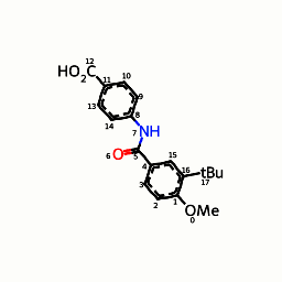 COc1ccc(C(=O)Nc2ccc(C(=O)O)cc2)cc1C(C)(C)C